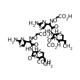 C=CC1=C(C(=O)O)N2C(=O)[C@@H](NC(=O)/C(=N\OCC(=O)O)c3csc(N)n3)[C@H]2SC1.C=CC1=C(C(=O)O)N2C(=O)[C@@H](NC(=O)/C(=N\OCC(=O)O)c3csc(N)n3)[C@H]2SC1